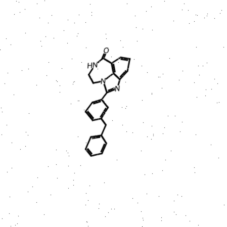 O=C1NCCn2c(-c3cccc(Cc4ccccc4)c3)nc3cccc1c32